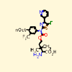 CCCCCCCCc1ccc(N(C(=O)OCCC(C)(C)C(N)C(=O)O)c2nc(-c3cccnc3)c(F)s2)cc1C(F)(F)F